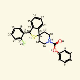 O=C(Oc1ccccc1)N1CCC2(CC1)SC(c1ccccc1F)c1ccccc12